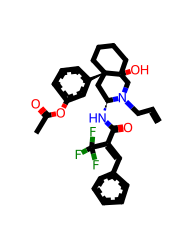 C=CCN1CC2(O)CCCC[C@@]2(c2cccc(OC(C)=O)c2)C[C@H]1NC(=O)C(=Cc1ccccc1)C(F)(F)F